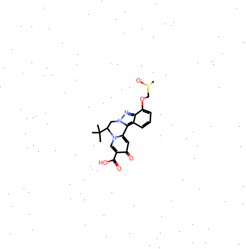 C[S+]([O-])COc1cccc2c3n(nc12)CC(C(C)(C)C)n1cc(C(=O)O)c(=O)cc1-3